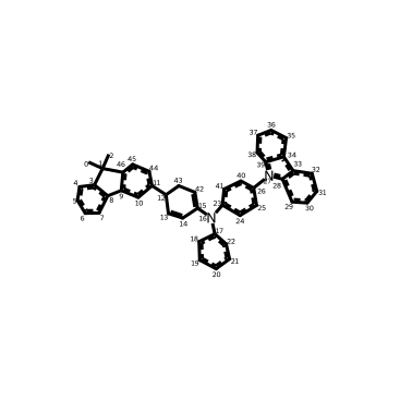 CC1(C)c2ccccc2-c2cc(C3C=CC(N(c4ccccc4)c4ccc(-n5c6ccccc6c6ccccc65)cc4)=CC3)ccc21